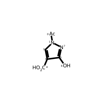 CC(=O)n1cc(C(=O)O)c(O)n1